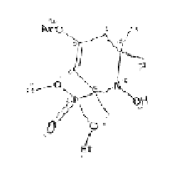 CCOP(=O)(OCC)C1(C)C=C(OC(C)=O)CC(C)(C)N1O